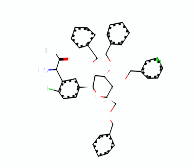 CC(=O)C(N)c1cc([C@@H]2O[C@H](COCc3ccccc3)[C@@H](OCc3ccccc3)[C@H](OCc3ccccc3)[C@H]2OCc2ccccc2)ccc1Cl.Cl